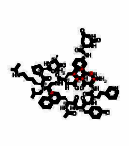 CC(=O)N[C@H](Cc1ccc2ccccc2c1)C(=O)N[C@H](Cc1ccc(Cl)cc1)C(=O)N[C@H](CCc1cccnc1)C(=O)N[C@@H](CO)C(=O)N[C@@H](Cc1ccc(NC(=O)[C@@H]2CC(=O)NC(=O)N2)cc1)C(=O)N[C@H](Cc1ccc(NC(N)=O)cc1)C(=O)NCC(=O)N(CC(C)C)[C@@H](CCCCNC(C)C)C(=O)N1CCC[C@H]1C(=O)N[C@H](C)C(N)=O